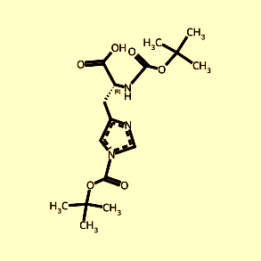 CC(C)(C)OC(=O)N[C@H](Cc1cn(C(=O)OC(C)(C)C)cn1)C(=O)O